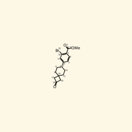 COC(=O)c1ccc(N2CCC3(CC2)CC(=O)C3)cc1Br